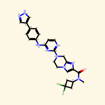 CN(C(=O)c1cn2c(n1)CN(c1nccc(Nc3ccc(-c4cn[nH]c4)cc3)n1)CC2)C1CC(F)(F)C1